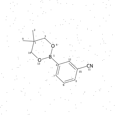 CC1(C)COB(c2cccc(C#N)c2)OC1